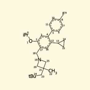 CC(C)Oc1cc(-c2ccc(F)cc2)c(C2CC2)cc1CN1CC(C)(CC(C)(C)C)C1